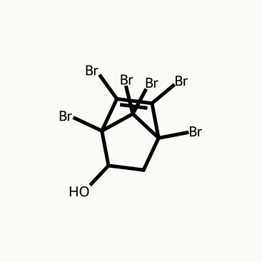 OC1CC2(Br)C(Br)=C(Br)C1(Br)C2(Br)Br